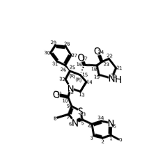 Cc1ccc(-c2nc(C)c(C(=O)N3CC[C@@H](C(=O)C4CNCCC4=O)[C@H](c4ccccc4)C3)s2)cn1